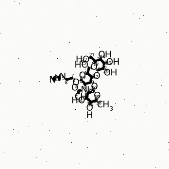 CC(=O)NC1[C@H](OCCN=[N+]=[N-])OC(CO)[C@@H](O[C@@H]2OC(CO)[C@H](O)[C@H](O)C2O)[C@@H]1OC1CC(O)[C@H](O)[C@H](C)O1